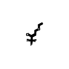 C[CH]OC/C=C(\Cl)C(F)(F)F